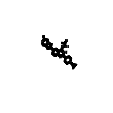 CC(=O)O.Cc1cn2cc(-c3ccc4nc(C5CCN(C6CC6)CC5)[nH]c(=O)c4c3)cc2cn1